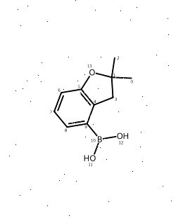 CC1(C)Cc2c(cccc2B(O)O)O1